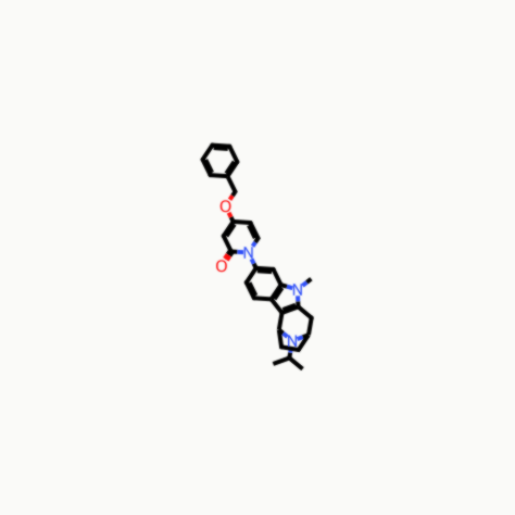 CC(C)N1C2CCC1c1c(n(C)c3cc(-n4ccc(OCc5ccccc5)cc4=O)ccc13)C2